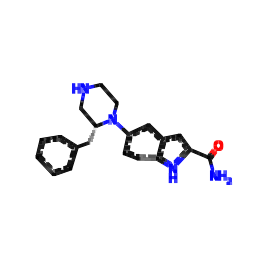 NC(=O)c1cc2cc(N3CCNC[C@H]3Cc3ccccc3)ccc2[nH]1